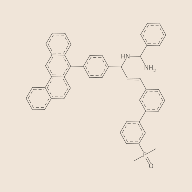 CP(C)(=O)c1cccc(-c2cccc(/C=C/C(NC(N)c3ccccc3)c3ccc(-c4c5ccccc5cc5c4ccc4ccccc45)cc3)c2)c1